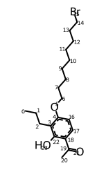 CCCc1c(OCCCCCCCCCBr)ccc(C(C)=O)c1O